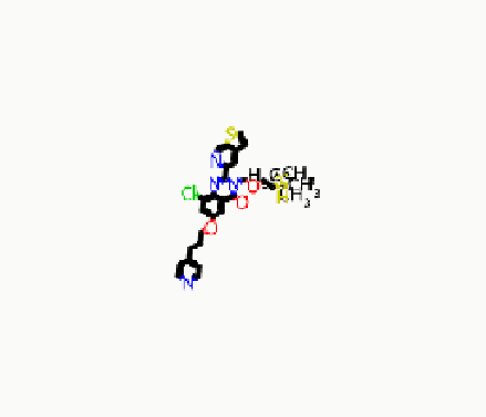 C[SH](C)(C)(C)CCOCn1c(-c2cc3ccsc3cn2)nc2c(Cl)cc(OCCCc3ccncc3)cc2c1=O